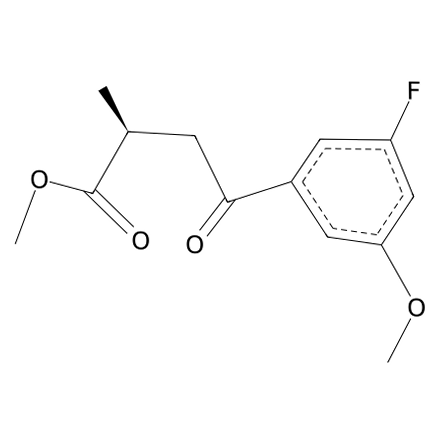 COC(=O)[C@@H](C)CC(=O)c1cc(F)cc(OC)c1